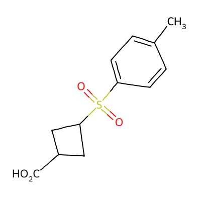 Cc1ccc(S(=O)(=O)C2CC(C(=O)O)C2)cc1